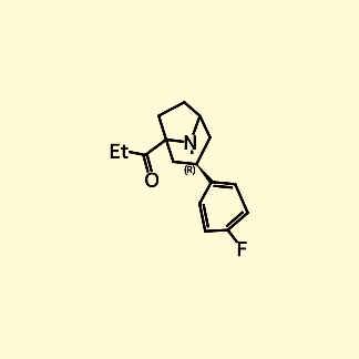 CCC(=O)C12CCC(C[C@@H](c3ccc(F)cc3)C1)N2C